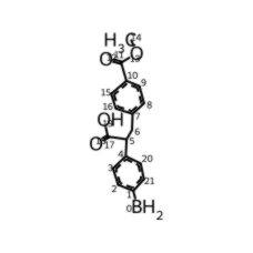 Bc1ccc(C(Cc2ccc(C(=O)OC)cc2)C(=O)O)cc1